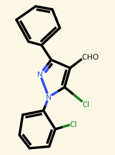 O=Cc1c(-c2ccccc2)nn(-c2ccccc2Cl)c1Cl